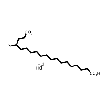 CC(C)C(CCCCCCCCCCCCCCC(=O)O)CCC(=O)O.Cl.Cl